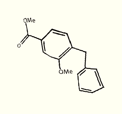 COC(=O)c1ccc(Cc2ccccc2)c(OC)c1